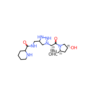 CC(C)(C)[C@@H](C(=O)N1C[C@H](O)C[C@H]1C=O)N1CC(CNC(=O)C2CCCCN2)NN1